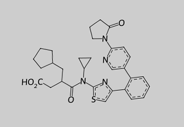 O=C(O)CC(CC1CCCC1)C(=O)N(c1nc(-c2ccccc2-c2ccc(N3CCCC3=O)nc2)cs1)C1CC1